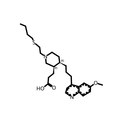 CCCCSCCN1CC[C@@H](CCCc2ccnc3ccc(OC)cc23)[C@@H](CCC(=O)O)C1